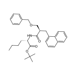 CCCC[C@H](NC(=O)[C@@H](COCc1ccccc1)Cc1cccc2ccccc12)C(=O)OC(C)(C)C